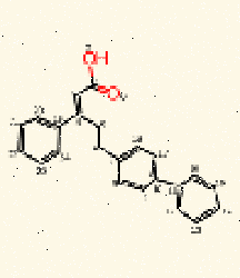 O=C(O)/C=C(\CCc1ccc(-c2ccccc2)cc1)c1ccccc1